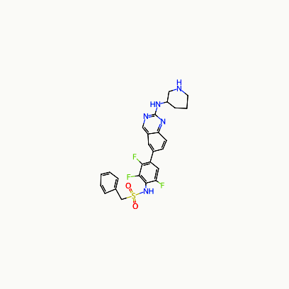 O=S(=O)(Cc1ccccc1)Nc1c(F)cc(-c2ccc3nc(NC4CCCNC4)ncc3c2)c(F)c1F